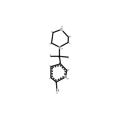 CCc1ccc(C(C)(C)N2CCOCC2)cn1